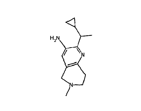 CC(c1nc2c(cc1N)CN(C)CC2)C1CC1